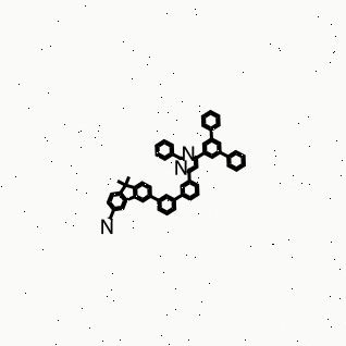 CC1(C)c2ccc(C#N)cc2-c2cc(-c3cccc(-c4cccc(-c5cc(-c6cc(-c7ccccc7)cc(-c7ccccc7)c6)nc(-c6ccccc6)n5)c4)c3)ccc21